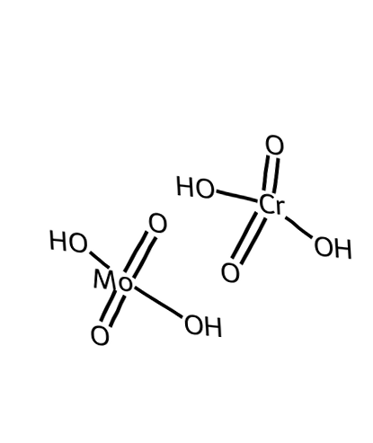 [O]=[Cr](=[O])([OH])[OH].[O]=[Mo](=[O])([OH])[OH]